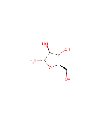 B[C@@H]1O[C@H](CO)C(O)[C@@H]1O